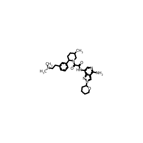 CC1CCC(c2cccc(CCN(C)C)c2)N(C(=O)C(=O)Nc2cnc(N)c3cn(C4CCCCO4)nc23)C1